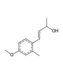 COc1ccc(C=CC(C)O)c(C)c1